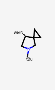 CN[C@@H]1CN(C(C)(C)C)CC12CC2